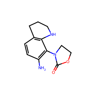 Nc1ccc2c(c1N1CCOC1=O)NCCC2